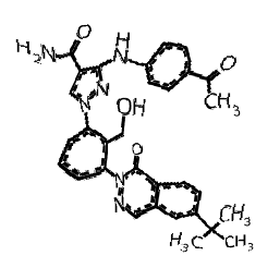 CC(=O)c1ccc(Nc2nn(-c3cccc(-n4ncc5cc(C(C)(C)C)ccc5c4=O)c3CO)cc2C(N)=O)cc1